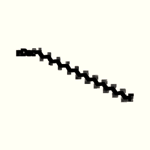 CCCCCCCCCCCCCCCCCCCCCCCCCCCCC[CH]F